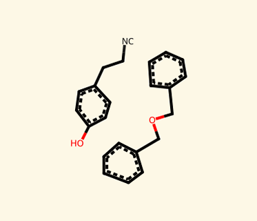 [C-]#[N+]CCc1ccc(O)cc1.c1ccc(COCc2ccccc2)cc1